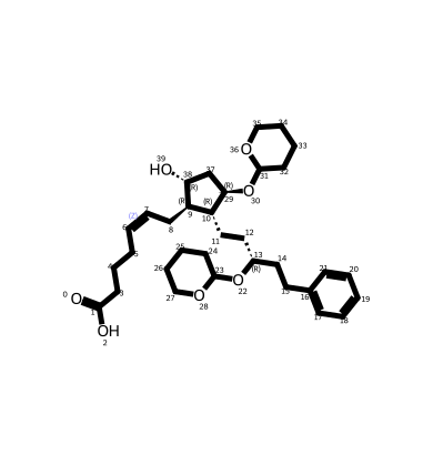 O=C(O)CCC/C=C\C[C@@H]1[C@@H](CC[C@H](CCc2ccccc2)OC2CCCCO2)[C@H](OC2CCCCO2)C[C@H]1O